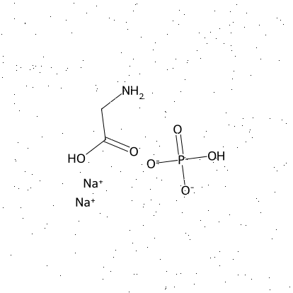 NCC(=O)O.O=P([O-])([O-])O.[Na+].[Na+]